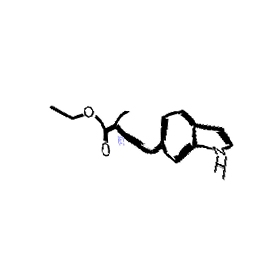 CCOC(=O)/C(C)=C/c1ccc2cc[nH]c2c1